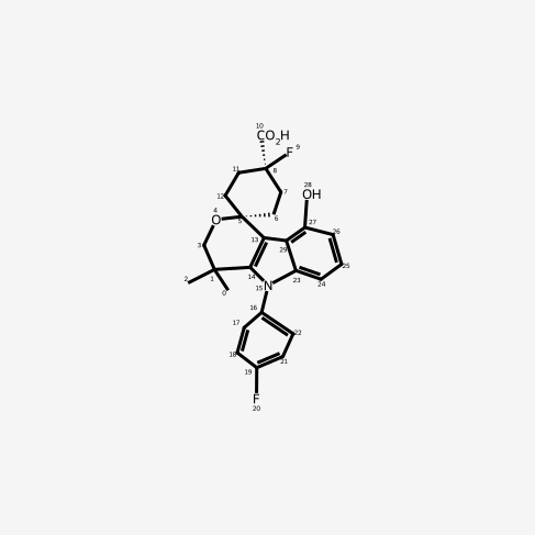 CC1(C)CO[C@]2(CC[C@@](F)(C(=O)O)CC2)c2c1n(-c1ccc(F)cc1)c1cccc(O)c12